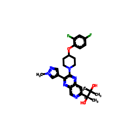 Cn1cc(-c2nc3cnc([C@@](C)(O)C(C)(C)O)cc3nc2N2CCC(Oc3ccc(F)cc3F)CC2)cn1